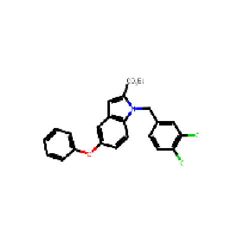 CCOC(=O)c1cc2cc(Oc3ccccc3)ccc2n1Cc1ccc(Cl)c(Cl)c1